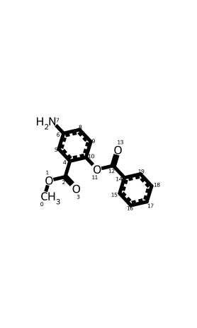 COC(=O)c1cc(N)ccc1OC(=O)c1ccccc1